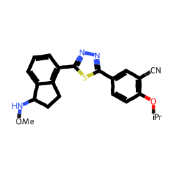 CONC1CCc2c(-c3nnc(-c4ccc(OC(C)C)c(C#N)c4)s3)cccc21